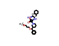 COCCCOC(c1ccccc1)C1CCCN(c2c(N[C@@H](CC3CCCCC3)[C@@H](C)N)c(=O)c2=O)C1